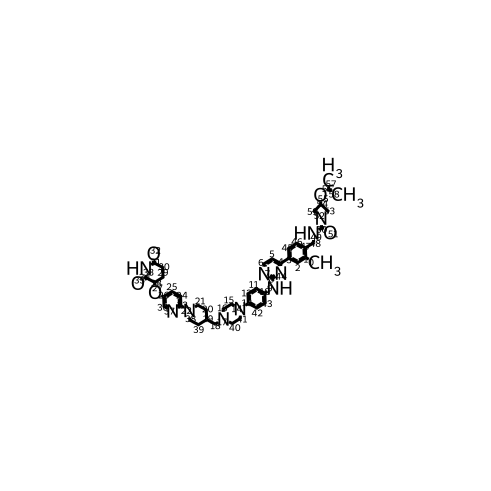 Cc1cc(-c2ccnc(Nc3ccc(N4CCN(CC5CCN(c6ccc(OC7CCC(=O)NC7=O)cn6)CC5)CC4)cc3)n2)ccc1CNC(=O)N1CC(OC(C)C)C1